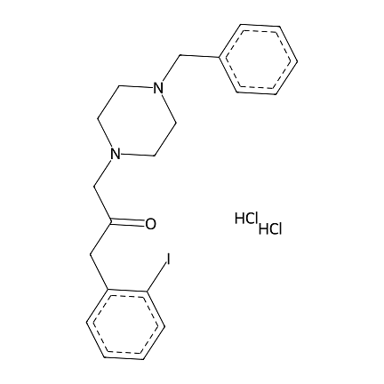 Cl.Cl.O=C(Cc1ccccc1I)CN1CCN(Cc2ccccc2)CC1